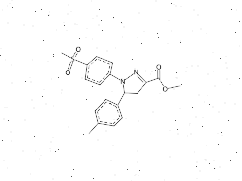 COC(=O)C1=NN(c2ccc(S(C)(=O)=O)cc2)C(c2ccc(C)cc2)C1